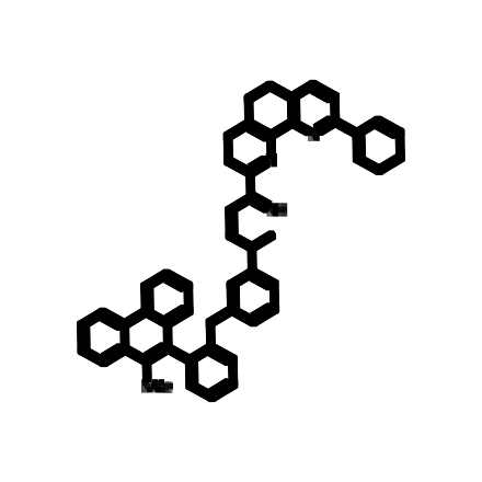 CNc1c(-c2ccccc2Cc2cccc(C(C)/C=C\C(=N)C3=NC4=C(CC3)CCc3ccc(C5=CCCC=C5)nc34)c2)c2ccccc2c2ccccc12